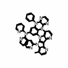 Cc1ccnc2c3c4nccc5c4n(c3n(-c3ccccn3)c12)-c1cc(N(c2ccccn2)c2ccccn2)cc2c1B5c1nccnc1N2c1ccccc1